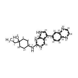 CCC1(O)CCC(Nc2ncc3c(-c4ccc5nccnc5c4)c[nH]c3n2)CC1